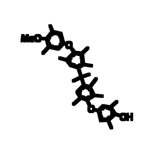 COc1c(C)cc(Oc2c(C)cc(C(C)(C)c3cc(C)c(Oc4cc(C)c(O)c(C)c4)c(C)c3C)c(C)c2C)cc1C